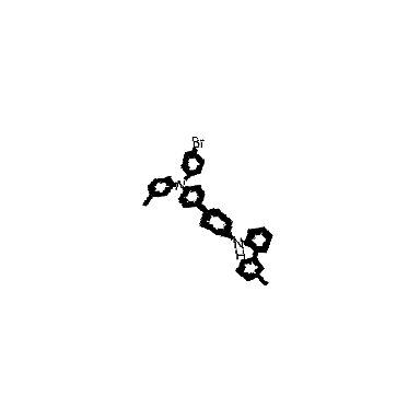 Cc1cccc(-c2ccccc2Nc2ccc(-c3ccc(N(c4ccc(Br)cc4)c4cccc(C)c4)cc3)cc2)c1